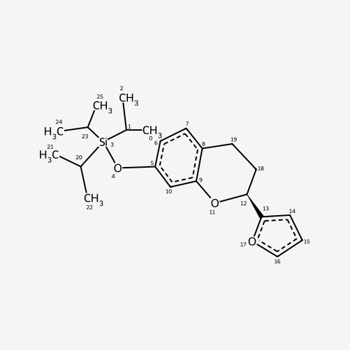 CC(C)[Si](Oc1ccc2c(c1)O[C@H](c1ccco1)CC2)(C(C)C)C(C)C